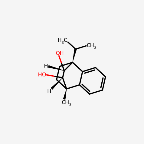 CC(C)[C@@]12CC[C@@](C)(c3ccccc31)[C@H](O)[C@@H]2O